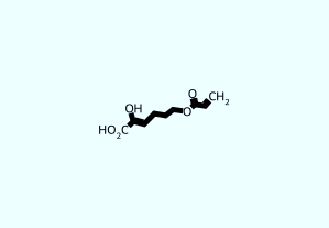 C=CC(=O)OCCCC=C(O)C(=O)O